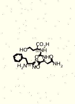 NC(=O)C[C@H](NC(=O)N[C@@H](CCO)C(=O)O)c1nc([C@@H](N)Cc2ccccc2)no1